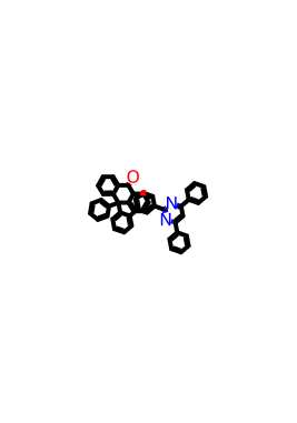 O=C1c2ccccc2C(c2ccccc2)(c2ccccc2-c2cccc(-c3nc(-c4ccccc4)cc(-c4ccccc4)n3)c2)c2ccccc21